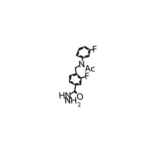 CC(=O)N(Cc1ccc(C(=O)NN)cc1F)c1cccc(F)c1